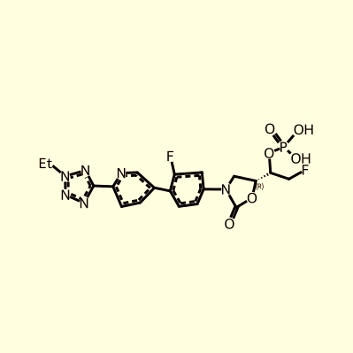 CCn1nnc(-c2ccc(-c3ccc(N4C[C@H](C(CF)OP(=O)(O)O)OC4=O)cc3F)cn2)n1